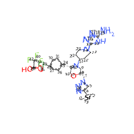 C[Si](C)(C)c1cn(C[C@H]2CN(C3CCN(c4nnc(N)[nH]4)CC3)[C@@H](Cc3ccc(Cl)cc3)CO2)nn1.O=C(O)C(F)(F)F